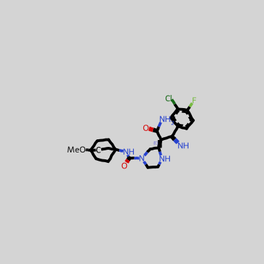 COC12CCC(NC(=O)N3CCN/C(=C(\C(=N)c4ccc(F)c(Cl)c4)C(N)=O)C3)(CC1)CC2